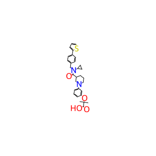 CC(C)(Oc1cccc(N2CCCC(C(=O)N(Cc3ccc(-c4cccs4)cc3)C3CC3)C2)c1)C(=O)O